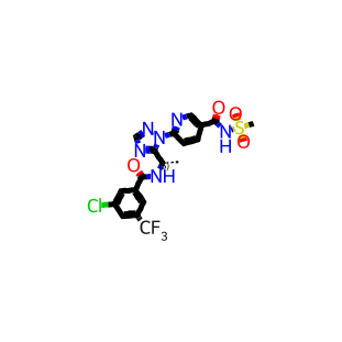 C[C@H](NC(=O)c1cc(Cl)cc(C(F)(F)F)c1)c1ncnn1-c1ccc(C(=O)NS(C)(=O)=O)cn1